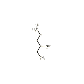 CCCC([NH-])CC.[Li+]